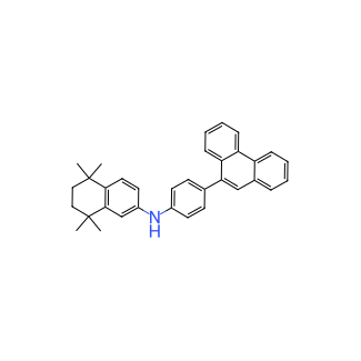 CC1(C)CCC(C)(C)c2cc(Nc3ccc(-c4cc5ccccc5c5ccccc45)cc3)ccc21